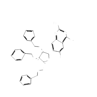 Oc1nc(O)c2cc(F)c([C@@H]3O[C@H](COCc4ccccc4)[C@@H](OCc4ccccc4)[C@H]3OCc3ccccc3)cc2n1